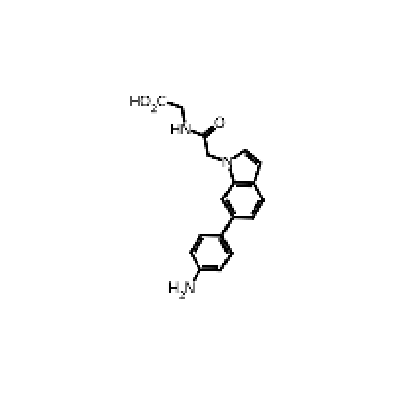 Nc1ccc(-c2ccc3ccn(CC(=O)NCC(=O)O)c3c2)cc1